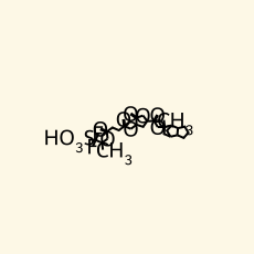 CC(OC(=O)CCC(=O)OC1CC(C(=O)OC2(C)CC3CC2C2CCCC32)OC1=O)C(F)(F)S(=O)(=O)O